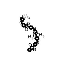 Cc1ccc(Oc2ccc3c(c2)C(=O)N(c2ccc(Oc4ccc(C(C)(C)c5ccc(Oc6ccc(N7C(=O)c8ccccc8C7=O)cc6)cc5)cc4)cc2)C3=O)cc1